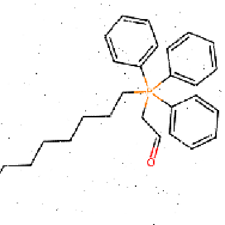 CCCCCCCCP(CC=O)(c1ccccc1)(c1ccccc1)c1ccccc1